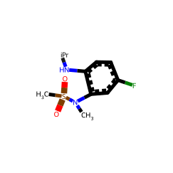 CC(C)Nc1ccc(F)cc1N(C)S(C)(=O)=O